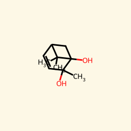 CC1(O)C=CC2CC1(O)C2(C)C